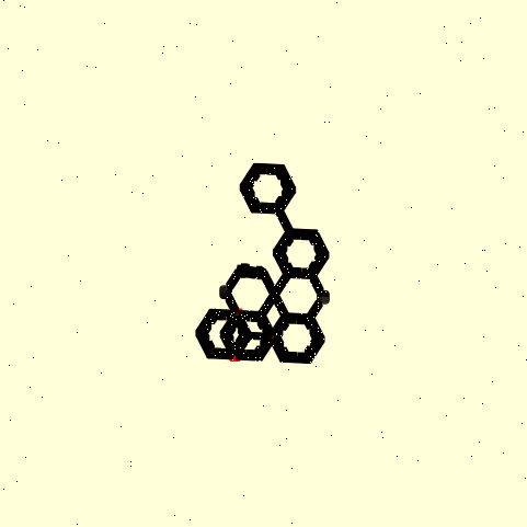 c1ccc(-c2ccc3c(c2)C2(c4ccccc4Oc4ccccc42)c2c(cccc2-c2ccccc2)O3)cc1